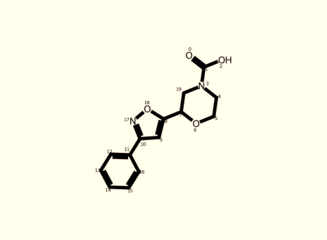 O=C(O)N1CCOC(c2cc(-c3ccccc3)no2)C1